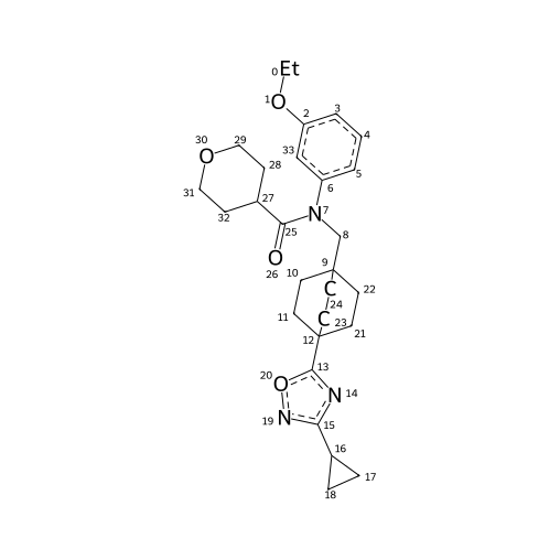 CCOc1cccc(N(CC23CCC(c4nc(C5CC5)no4)(CC2)CC3)C(=O)C2CCOCC2)c1